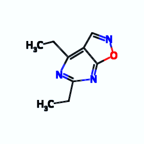 CCc1nc(CC)c2cnoc2n1